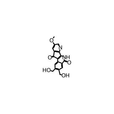 COc1cnc2c(c1)C(=O)c1c-2[nH]c(=O)c2cc(CO)c(CO)cc12